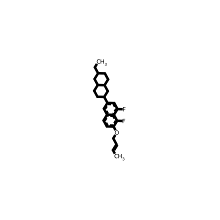 CC=CCOc1ccc2cc(C3CCC4CC(CC)CCC4C3)cc(F)c2c1F